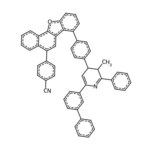 CC1C(c2ccccc2)=NC(c2cccc(-c3ccccc3)c2)=CC1c1ccc(-c2cccc3oc4c5ccccc5c(-c5ccc(C#N)cc5)cc4c23)cc1